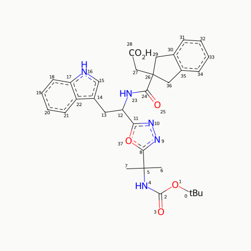 CC(C)(C)OC(=O)NC(C)(C)c1nnc(C(Cc2c[nH]c3ccccc23)NC(=O)C2(CC(=O)O)Cc3ccccc3C2)o1